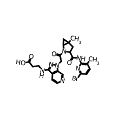 Cc1ccc(Br)nc1NC(=O)C1CC2(C)CC2N1C(=O)Cn1nc(NCCC(=O)O)c2ccncc21